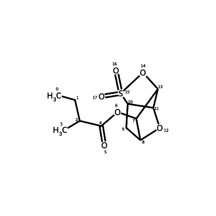 CCC(C)C(=O)OC1C2CC3C(O2)C1OS3(=O)=O